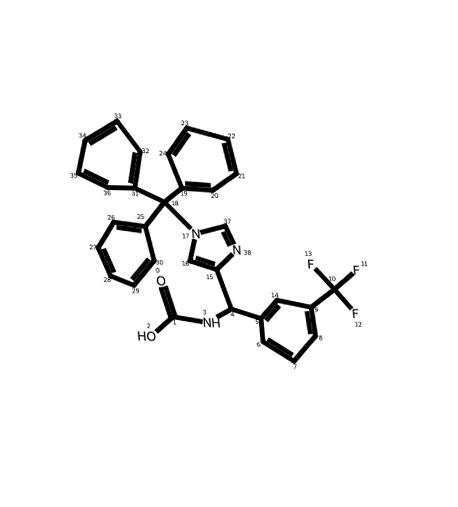 O=C(O)NC(c1cccc(C(F)(F)F)c1)c1cn(C(c2ccccc2)(c2ccccc2)c2ccccc2)cn1